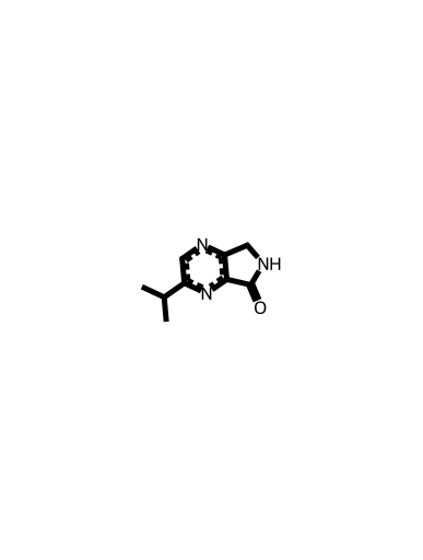 CC(C)c1cnc2c(n1)C(=O)NC2